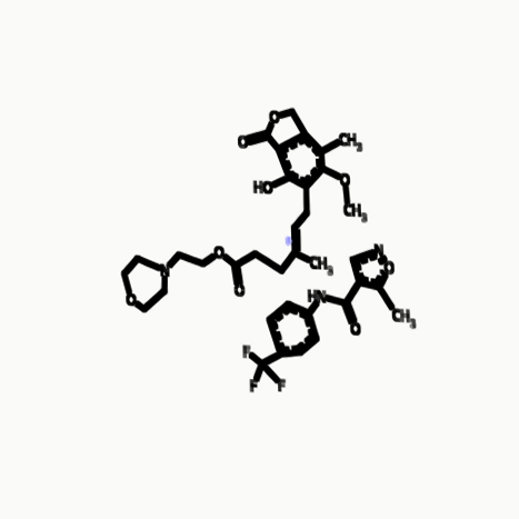 COc1c(C)c2c(c(O)c1C/C=C(\C)CCC(=O)OCCN1CCOCC1)C(=O)OC2.Cc1oncc1C(=O)Nc1ccc(C(F)(F)F)cc1